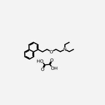 CCN(CC)CCOCCc1cccc2ccccc12.O=C(O)C(=O)O